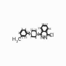 Cc1cccc(N2CCN(c3nnc(Cl)c4ccccc34)CC2)c1